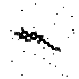 CCCCCCCC(=O)Nc1ccc(N2C=C(F)C(O)NC2O)cc1